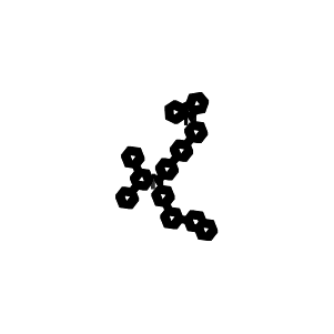 c1ccc(-c2cc(-c3ccccc3)cc(N(c3ccc(-c4ccc(-c5cccc(-n6c7ccccc7c7ccccc76)c5)cc4)cc3)c3ccc(-c4cccc(-c5ccc6ccccc6c5)c4)cc3)c2)cc1